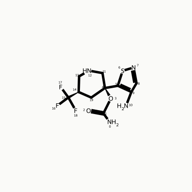 NC(=O)O[C@]1(c2sncc2N)CNC[C@H](C(F)(F)F)C1